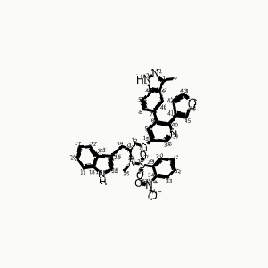 Cc1n[nH]c2ccc(-c3cc(OC[C@H](Cc4c[nH]c5ccccc45)N(C)S(=O)(=O)c4ccccc4[N+](=O)[O-])cnc3-c3ccoc3)cc12